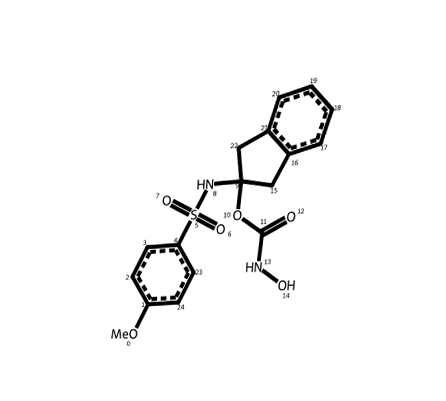 COc1ccc(S(=O)(=O)NC2(OC(=O)NO)Cc3ccccc3C2)cc1